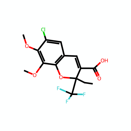 CCC1(C(F)(F)F)Oc2c(cc(Cl)c(OC)c2OC)C=C1C(=O)O